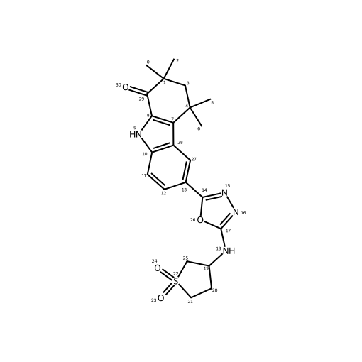 CC1(C)CC(C)(C)c2c([nH]c3ccc(-c4nnc(NC5CCS(=O)(=O)C5)o4)cc23)C1=O